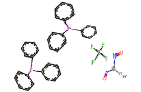 F[B-](F)(F)F.O=[N][Ru]([Cl])[N]=O.[H+].c1ccc(P(c2ccccc2)c2ccccc2)cc1.c1ccc(P(c2ccccc2)c2ccccc2)cc1